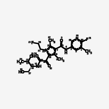 Cc1cc(NC(=O)c2c(C)c(C(=O)C(=O)N[C@H](CO)[C@@H](C)O)n(CCF)c2C)cnc1F